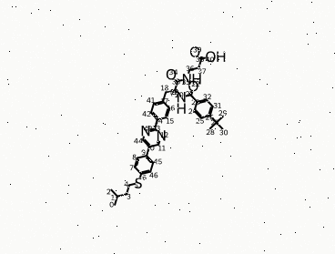 CC(C)CCSc1ccc(-c2cnc(-c3ccc(C[C@H](NC(=O)c4ccc(C(C)(C)C)cc4)C(=O)NCCC(=O)O)cc3)nc2)cc1